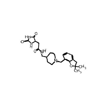 CC1(C)Cc2cccc(CN3CCC(CNC(=O)CC4NC(=O)NC4=O)CC3)c2O1